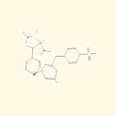 CN1C(=O)NC(c2ccccc2)C1(C)C(=O)C[C@H](c1ccc(S(C)(=O)=O)cc1)c1cc(F)cc(F)c1